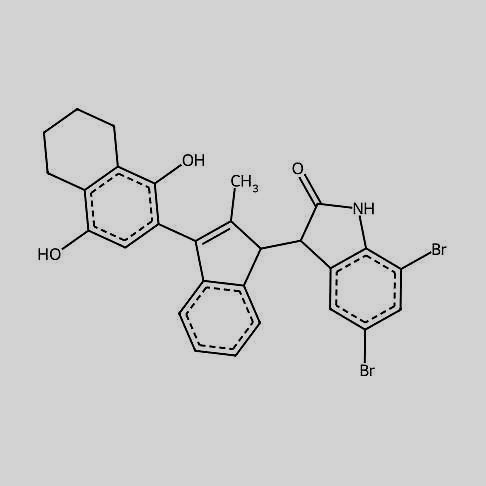 CC1=C(c2cc(O)c3c(c2O)CCCC3)c2ccccc2C1C1C(=O)Nc2c(Br)cc(Br)cc21